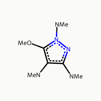 CNc1nn(NC)c(OC)c1NC